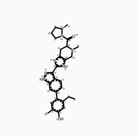 CCc1cc(O)c(F)cc1-c1ccc2c(-c3nc4c([nH]3)CN(C)C(C(=O)N3CCC[C@H]3C)C4)n[nH]c2c1